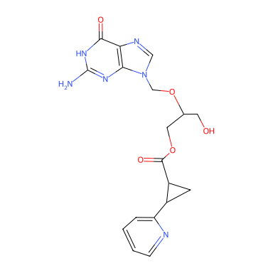 Nc1nc2c(ncn2COC(CO)COC(=O)C2CC2c2ccccn2)c(=O)[nH]1